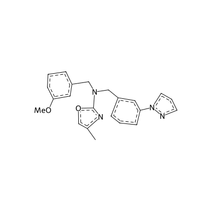 COc1cccc(CN(Cc2cccc(-n3cccn3)c2)c2nc(C)co2)c1